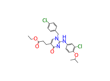 CCOC(=O)CCc1cn(Cc2ccc(Cl)cc2)c(Nc2ccc(OC(C)C)c(Cl)c2)nc1=O